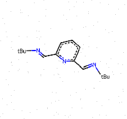 CC(C)(C)/N=C/c1cccc(/C=N/C(C)(C)C)n1